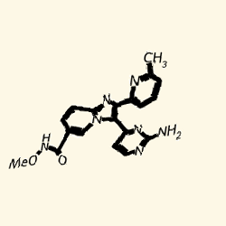 CONC(=O)c1ccc2nc(-c3cccc(C)n3)c(-c3ccnc(N)n3)n2c1